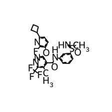 Cc1c(C(F)(F)F)nnc(Oc2ccc(C3CCC3)nc2F)c1C(=O)Nc1cccc(S(C)(=N)=O)c1